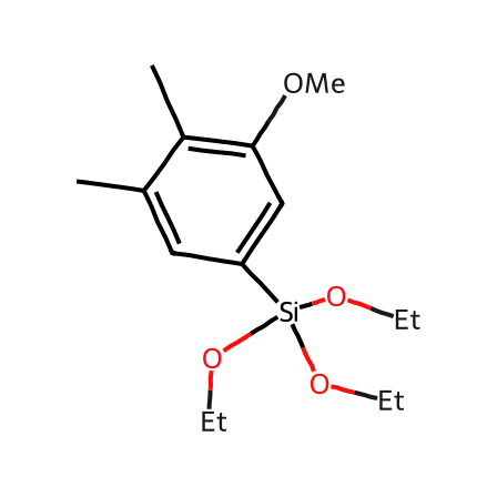 CCO[Si](OCC)(OCC)c1cc(C)c(C)c(OC)c1